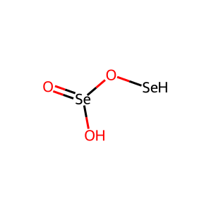 O=[Se](O)O[SeH]